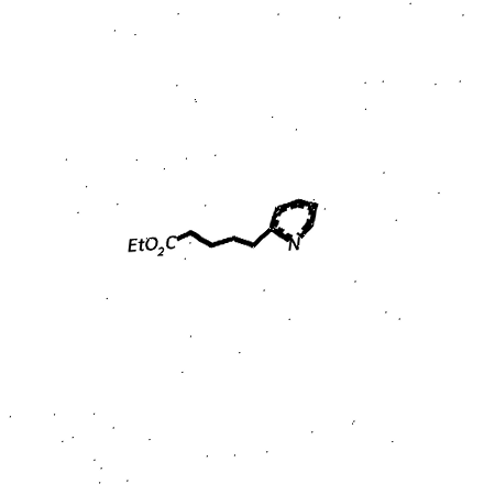 CCOC(=O)CCCCc1ccccn1